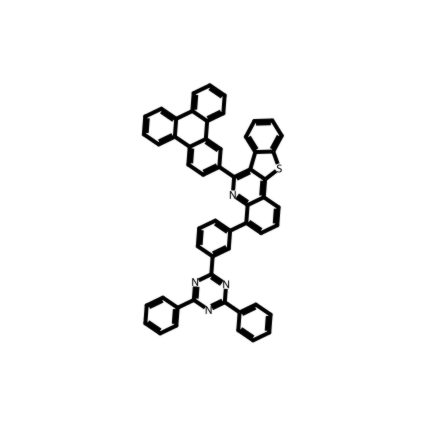 c1ccc(-c2nc(-c3ccccc3)nc(-c3cccc(-c4cccc5c4nc(-c4ccc6c7ccccc7c7ccccc7c6c4)c4c6ccccc6sc54)c3)n2)cc1